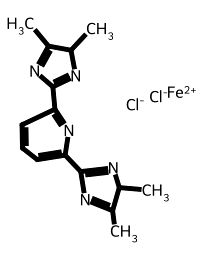 CC1=NC(c2cccc(C3=NC(C)C(C)=N3)n2)=NC1C.[Cl-].[Cl-].[Fe+2]